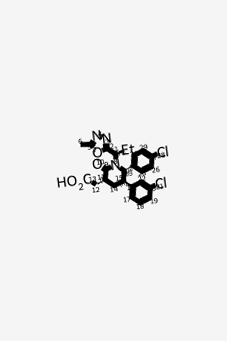 CC[C@H](c1nnc(C)o1)N1C(=O)[C@@H](CC(=O)O)C[C@H](c2cccc(Cl)c2)[C@H]1c1ccc(Cl)cc1